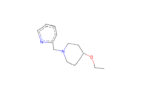 CCOC1CCN(Cc2ccccn2)CC1